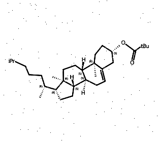 CC(C)CCC[C@@H](C)[C@H]1CC[C@H]2[C@@H]3CC=C4C[C@@H](OC(=O)C(C)(C)C)CC[C@]4(C)[C@H]3CC[C@]12C